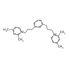 Cc1cc[n+](CCCc2cccc(CCC[n+]3ccc(C)cc3C)c2)c(C)c1